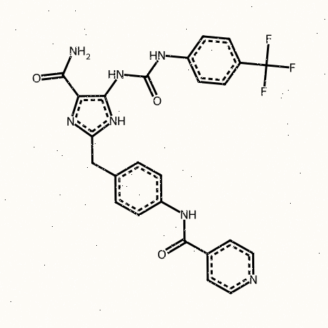 NC(=O)c1nc(Cc2ccc(NC(=O)c3ccncc3)cc2)[nH]c1NC(=O)Nc1ccc(C(F)(F)F)cc1